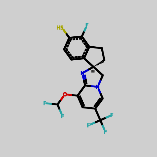 Fc1c(S)ccc2c1CC[C@@]21CN2C=C(C(F)(F)F)C=C(OC(F)F)C2=N1